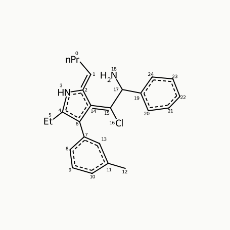 CCC/C=c1\[nH]c(CC)c(-c2cccc(C)c2)\c1=C(/Cl)C(N)c1ccccc1